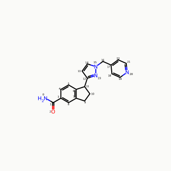 NC(=O)c1ccc2c(c1)CCC2c1ccn(Cc2ccncc2)n1